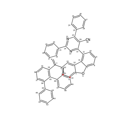 C=C(c1ccc2oc3cccc(-c4nc(-c5ccccc5)nc(-c5ccccc5)c4C#N)c3c2c1)c1cccc(-c2ccccc2)c1-c1ccccc1C